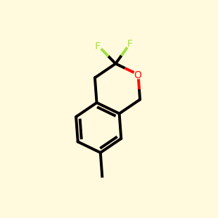 Cc1ccc2c(c1)COC(F)(F)C2